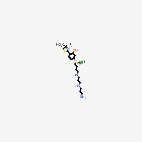 C[C@]1(C(=O)O)CSC(c2ccc(OCCCCNCCCNCCCN)cc2O)=N1.Cl.Cl.Cl